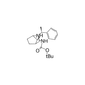 C[C@@H](c1ccccc1)N1CC2CCC1[C@@H]2NC(=O)OC(C)(C)C